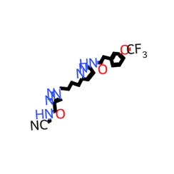 N#CCNC(=O)c1cn(CCCCc2ccc(NC(=O)Cc3cccc(OC(F)(F)F)c3)nn2)nn1